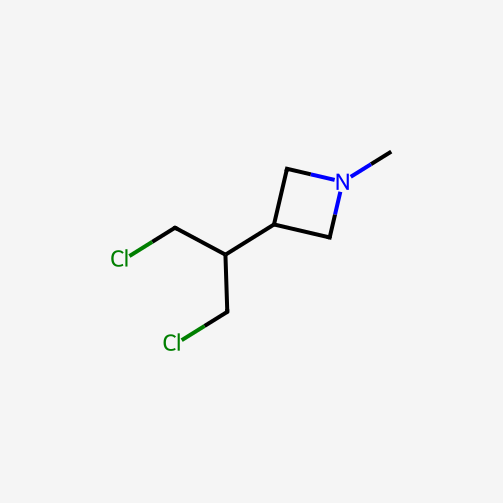 CN1CC(C(CCl)CCl)C1